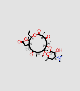 CC[C@H]1OC(=O)[C@H](C)C(=O)[C@H](C)[C@@H](O[C@@H]2O[C@H](C)C[C@H](N(C)C)[C@H]2O)[C@](C)(OC)C[C@@H](C)C(=O)[C@H](C)[C@H]2CC(=O)O[C@@]21C